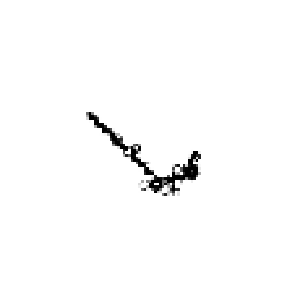 CCCCCCCCOCCOC(=O)CCCSCC[C@H]1C(=O)C[C@@H](O)[C@@H]1C=C[C@@H](O)Cc1cccc(COC)c1